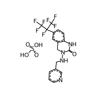 O=C1Nc2ccc(C(F)(C(F)(F)F)C(F)(F)F)cc2CN1NCc1cccnc1.O=S(=O)(O)O